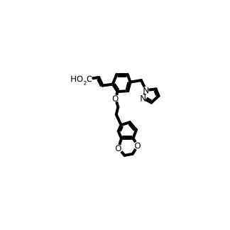 O=C(O)C=Cc1ccc(Cn2cccn2)cc1OCCc1ccc2c(c1)OCCO2